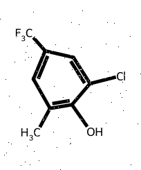 Cc1cc(C(F)(F)F)cc(Cl)c1O